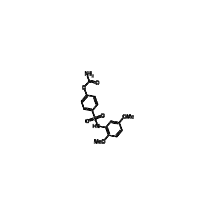 COc1ccc(OC)c(NS(=O)(=O)c2ccc(OC(N)=O)cc2)c1